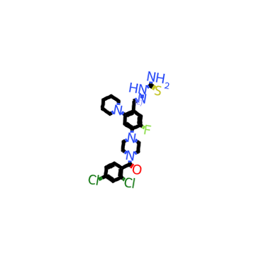 NC(=S)N/N=C/c1cc(F)c(N2CCN(C(=O)c3ccc(Cl)cc3Cl)CC2)cc1N1CCCCC1